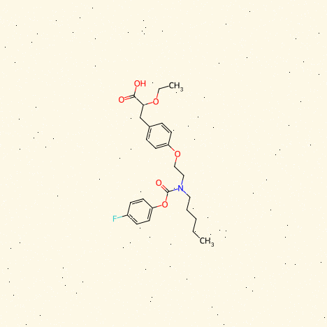 CCCCCN(CCOc1ccc(CC(OCC)C(=O)O)cc1)C(=O)Oc1ccc(F)cc1